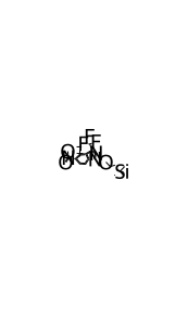 C[Si](C)(C)CCOCn1nc(C(F)(F)F)c2cc([N+](=O)[O-])ccc21